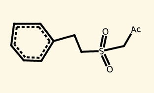 CC(=O)CS(=O)(=O)CCc1ccccc1